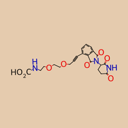 O=C(O)NCCOCCOCC#Cc1cccc2c1C(=O)N(C1CCC(=O)NC1=O)C2=O